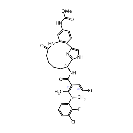 CC/C=C/C(C(=O)N[C@H]1CCCCC(=O)Nc2cc(NC(=O)OC)ccc2-c2c[nH]c1n2)=C(/C)N(C)c1cccc(Cl)c1F